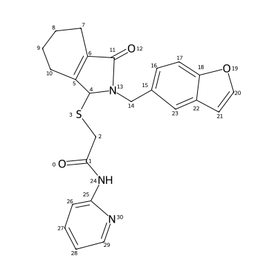 O=C(CSC1C2=C(CCCC2)C(=O)N1Cc1ccc2occc2c1)Nc1ccccn1